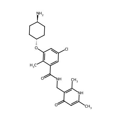 Cc1cc(=O)c(CNC(=O)c2cc(Cl)cc(O[C@H]3CC[C@H](N)CC3)c2C)c(C)[nH]1